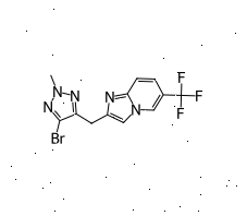 Cn1nc(Br)c(Cc2cn3cc(C(F)(F)F)ccc3n2)n1